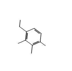 Cc1c(CC(C)C)ccc(C(=O)O)c1C